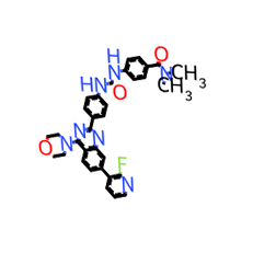 CN(C)C(=O)c1ccc(NC(=O)Nc2ccc(-c3nc(N4CCOCC4)c4ccc(-c5cccnc5F)cc4n3)cc2)cc1